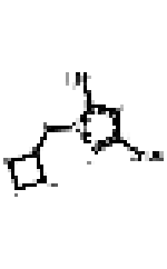 CCCCc1cc(N)n(CC2CCC2)n1